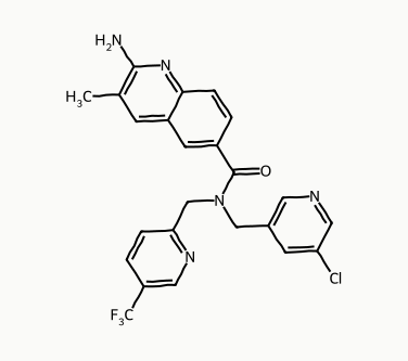 Cc1cc2cc(C(=O)N(Cc3cncc(Cl)c3)Cc3ccc(C(F)(F)F)cn3)ccc2nc1N